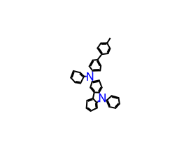 Cc1ccc(-c2ccc(N(c3ccccc3)c3ccc4c(c3)c3ccccc3n4-c3ccccc3)cc2)cc1